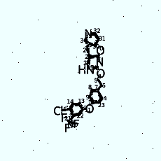 O=c1nc(OCCc2ccc(Oc3ccc(Cl)c(C(F)(F)F)c3)cc2)[nH]cc1Cc1cccnc1